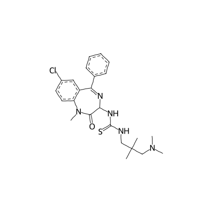 CN(C)CC(C)(C)CNC(=S)NC1N=C(c2ccccc2)c2cc(Cl)ccc2N(C)C1=O